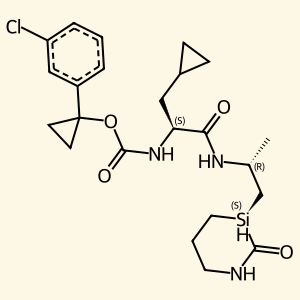 C[C@H](C[Si@@H]1CCCNC1=O)NC(=O)[C@H](CC1CC1)NC(=O)OC1(c2cccc(Cl)c2)CC1